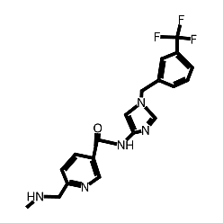 CNCc1ccc(C(=O)Nc2cn(Cc3cccc(C(F)(F)F)c3)cn2)cn1